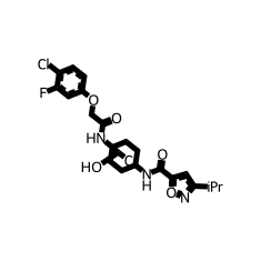 CC(C)c1cc(C(=O)NC23CCC(NC(=O)COc4ccc(Cl)c(F)c4)(CC2)C(O)C3)on1